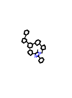 Cc1c(-c2ccccc2)nc(-c2ccccc2)n1Cc1cccc(-c2cccc(-c3cccc(-c4cccc(-c5ccccc5)c4)c3)c2)c1